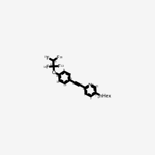 CCCCCCc1ccc(C#Cc2ccc(OC(F)(F)C(F)F)cc2)nc1